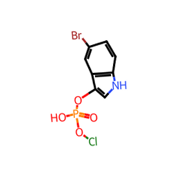 O=P(O)(OCl)Oc1c[nH]c2ccc(Br)cc12